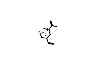 C=C[C@@H](CN)CN(C)C(=C)C